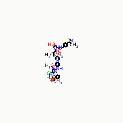 COc1cc(N2CCC[C@@H](CC(C)(C)[CH]C(=O)N3C[C@H](O)C[C@H]3C(=O)NCc3ccc(-c4scnc4C)cc3)C2)ccc1Nc1ncc(Cl)c(Nc2ccccc2P(C)(C)=O)n1